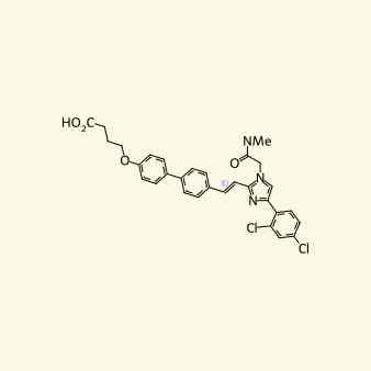 CNC(=O)Cn1cc(-c2ccc(Cl)cc2Cl)nc1/C=C/c1ccc(-c2ccc(OCCCC(=O)O)cc2)cc1